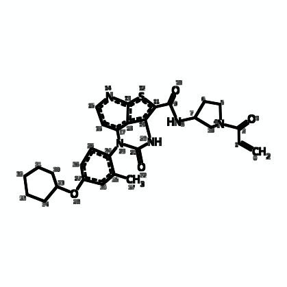 C=CC(=O)N1CCC(NC(=O)c2sc3nccc4c3c2NC(=O)N4c2ccc(OC3CCCCC3)cc2C)C1